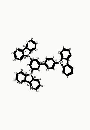 c1ccc2c(c1)c1ccccc1n2-c1ccc(-c2cc(-n3c4cccnc4c4ncccc43)cc(-n3c4cccnc4c4ncccc43)c2)cc1